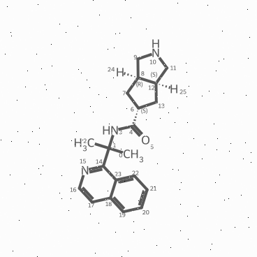 CC(C)(NC(=O)[C@@H]1C[C@H]2CNC[C@H]2C1)c1nccc2ccccc12